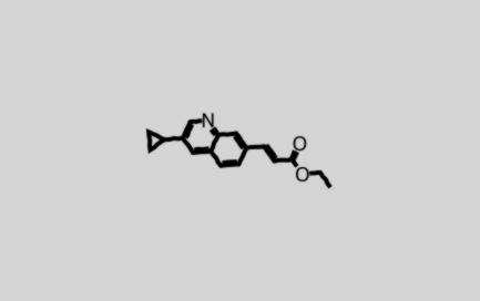 CCOC(=O)/C=C/c1ccc2cc(C3CC3)cnc2c1